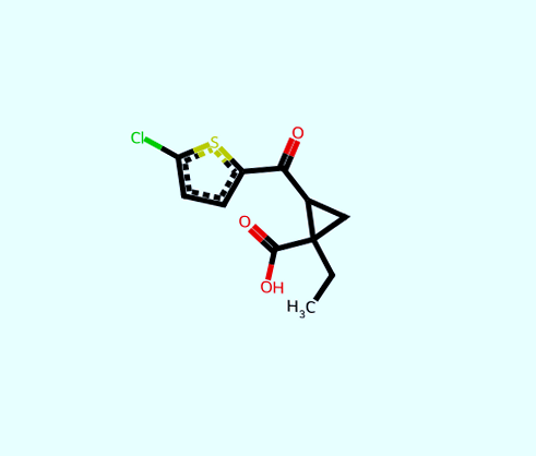 CCC1(C(=O)O)CC1C(=O)c1ccc(Cl)s1